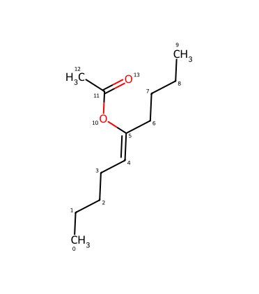 CCCCC=C(CCCC)OC(C)=O